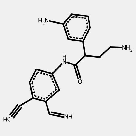 C#Cc1ccc(NC(=O)C(CCN)c2cccc(N)c2)cc1C=N